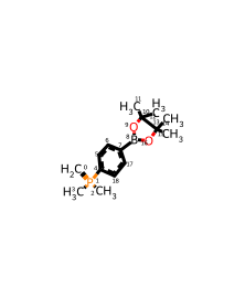 C=P(C)(C)c1ccc(B2OC(C)(C)C(C)(C)O2)cc1